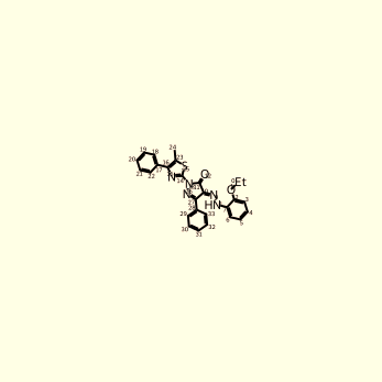 CCOc1ccccc1N/N=C1/C(=O)N(c2nc(-c3ccccc3)c(C)s2)N=C1c1ccccc1